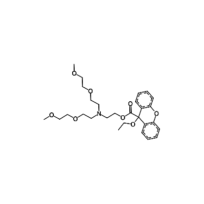 CCOC1(C(=O)OCCN(CCOCCOC)CCOCCOC)c2ccccc2Oc2ccccc21